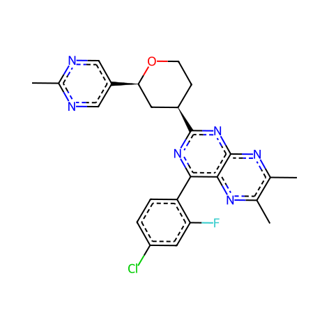 Cc1ncc([C@@H]2C[C@H](c3nc(-c4ccc(Cl)cc4F)c4nc(C)c(C)nc4n3)CCO2)cn1